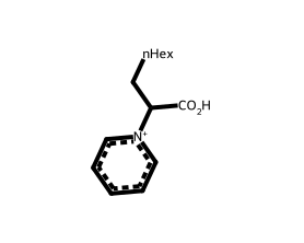 CCCCCCCC(C(=O)O)[n+]1ccccc1